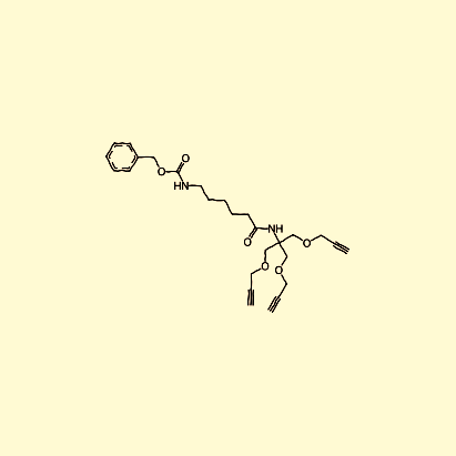 C#CCOCC(COCC#C)(COCC#C)NC(=O)CCCCCNC(=O)OCc1ccccc1